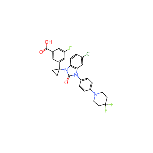 O=C(O)c1cc(F)cc(C2(n3c(=O)n(-c4ccc(N5CCC(F)(F)CC5)cc4)c4cc(Cl)ccc43)CC2)c1